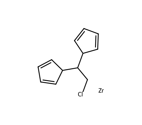 ClCC(C1C=CC=C1)C1C=CC=C1.[Zr]